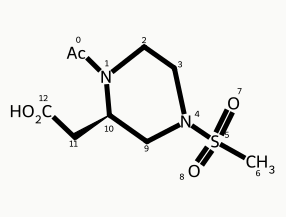 CC(=O)N1CCN(S(C)(=O)=O)C[C@H]1CC(=O)O